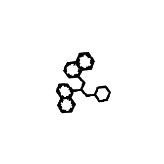 c1ccc2c(CC(CC3CCCCC3)c3cccc4ccccc34)cccc2c1